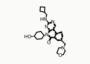 O=c1c2cc(CN3CCOCC3)ccc2c2cnc(NCC3CCC3)nc2n1[C@H]1CC[C@H](O)CC1